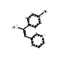 O=CC(=Cc1cccnc1)c1ccc(C(F)(F)F)cc1